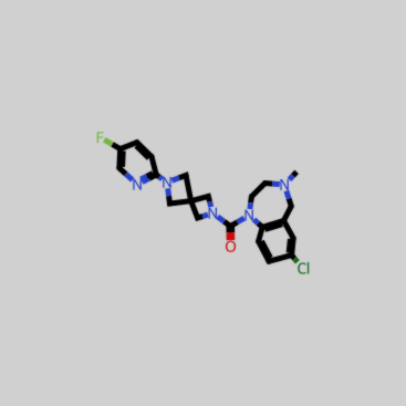 CN1CCN(C(=O)N2CC3(C2)CN(c2ccc(F)cn2)C3)c2ccc(Cl)cc2C1